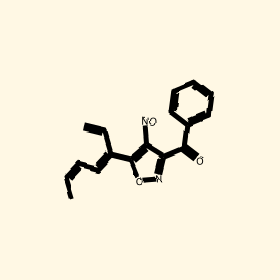 C=C/C(=C\C=C/C)c1onc(C(=O)c2ccccc2)c1N=O